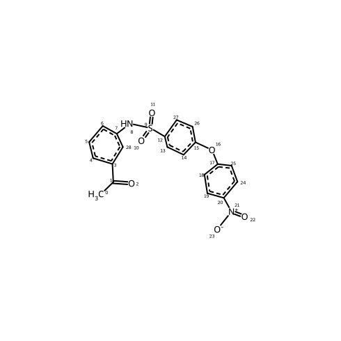 CC(=O)c1cccc(NS(=O)(=O)c2ccc(Oc3ccc([N+](=O)[O-])cc3)cc2)c1